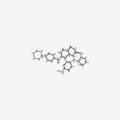 COc1ccc(C(c2ncccn2)n2c(=O)ccc3cnc(Nc4ccc(N5CCCCC5)cc4)nc32)cc1